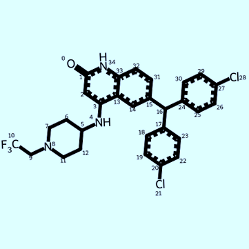 O=c1cc(NC2CCN(CC(F)(F)F)CC2)c2cc(C(c3ccc(Cl)cc3)c3ccc(Cl)cc3)ccc2[nH]1